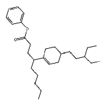 CCCCCC(CCC(=O)Oc1ccccc1)C1=CCC(CCC(CC)CC)CC1